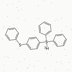 [2H]S(c1ccccc1)(c1ccccc1)c1ccc(Sc2ccccc2)cc1